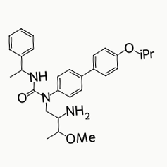 COC(C)C(N)CN(C(=O)NC(C)c1ccccc1)c1ccc(-c2ccc(OC(C)C)cc2)cc1